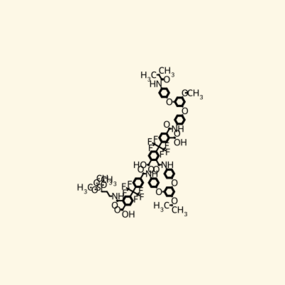 COc1cc(Oc2ccc(NC(=O)c3ccc(C(c4ccc(C(=O)O)c(C(=O)Nc5ccc(Oc6cc(Oc7ccc(NC(=O)c8ccc(C(c9ccc(C(=O)O)c(C(=O)NCCC[Si](OC)(OC)OC)c9)(C(F)(F)F)C(F)(F)F)cc8)cc7)cc(OC(C)C)c6)cc5)c4)(C(F)(F)F)C(F)(F)F)cc3C(=O)O)cc2)cc(Oc2ccc(NC(=O)C(C)C)cc2)c1